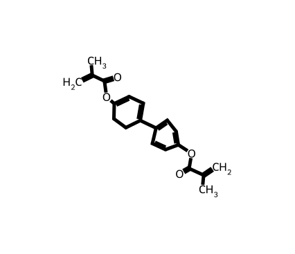 C=C(C)C(=O)OC1=CC=C(c2ccc(OC(=O)C(=C)C)cc2)CC1